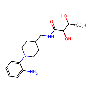 Nc1ccccc1N1CCC(CNC(=O)[C@H](O)[C@@H](O)C(=O)O)CC1